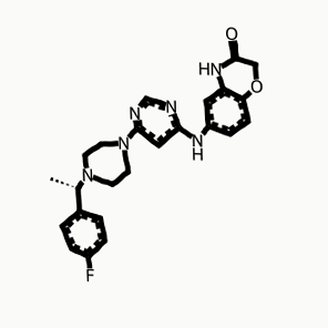 C[C@@H](c1ccc(F)cc1)N1CCN(c2cc(Nc3ccc4c(c3)NC(=O)CO4)ncn2)CC1